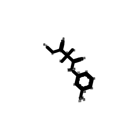 CC(C)(C(=O)CI)C(=O)Nc1cccc(C(F)(F)F)c1